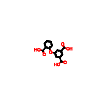 O=C(O)c1cc(Oc2ccccc2C(=O)O)cc(C(=O)O)c1